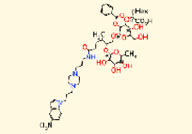 CCCCCC[C@H](OC1C(OC(=O)c2ccccc2)[C@H](OCC(O[C@@H]2OC(C)[C@@H](O)C(O)C2O)C(C)CCC(=O)NCCCN2CCN(CCCn3ccc4cc([N+](=O)[O-])ccc43)CC2)OC(CO)[C@@H]1O)C(=O)O